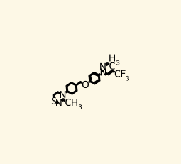 C/C=N\N(/C=C/C(F)(F)F)c1ccc(OCC2CCC(N3CCSN=C3C)CC2)cc1